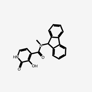 CN(C(=O)c1cc[nH]c(=O)c1O)C1c2ccccc2-c2ccccc21